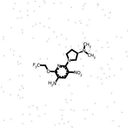 CN(C)[C@@H]1CCN(c2nc(OCC(F)(F)F)c(N)cc2[N+](=O)[O-])C1